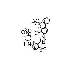 C[C@@H]1CN(S(C)(=O)=O)CC[C@@H]1Nc1ncc(C(F)(F)F)c(-c2cn(-c3ccc(C4CCCCN4C(=O)OC(C)(C)C)cc3Cl)cn2)n1